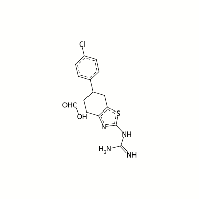 N=C(N)Nc1nc2c(s1)CC(c1ccc(Cl)cc1)CC2.O=CO